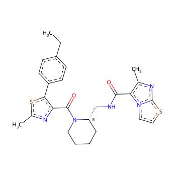 CCc1ccc(-c2sc(C)nc2C(=O)N2CCCC[C@H]2CNC(=O)c2c(C)nc3sccn23)cc1